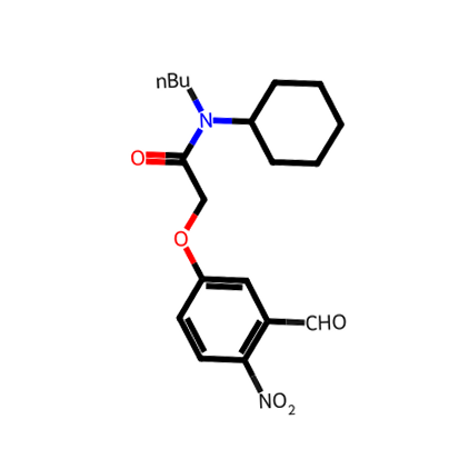 CCCCN(C(=O)COc1ccc([N+](=O)[O-])c(C=O)c1)C1CCCCC1